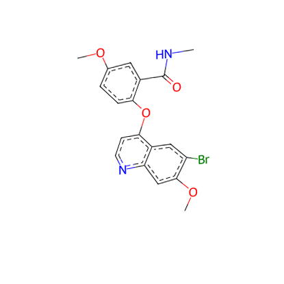 CNC(=O)c1cc(OC)ccc1Oc1ccnc2cc(OC)c(Br)cc12